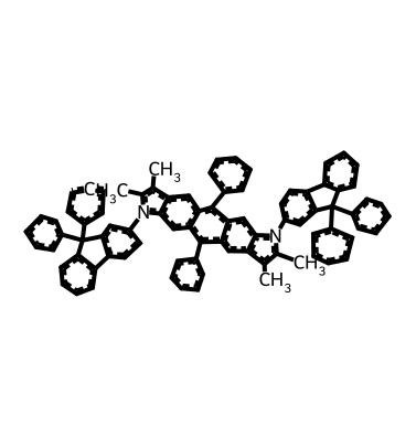 Cc1c(C)n(-c2ccc3c(c2)C(c2ccccc2)(c2ccccc2)c2ccccc2-3)c2cc3c(-c4ccccc4)c4cc5c(C)c(C)n(-c6ccc7c(c6)C(c6ccccc6)(c6ccccc6)c6ccccc6-7)c5cc4c(-c4ccccc4)c3cc12